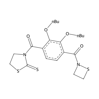 CCCCOc1c(C(=O)N2CCS2)ccc(C(=O)N2CCSC2=S)c1OCCCC